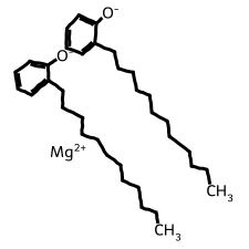 CCCCCCCCCCCCc1ccccc1[O-].CCCCCCCCCCCCc1ccccc1[O-].[Mg+2]